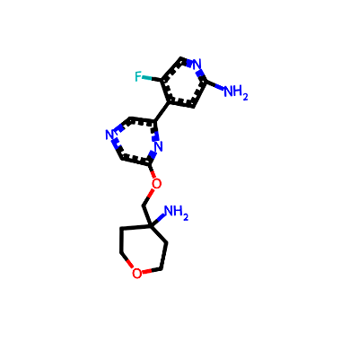 Nc1cc(-c2cncc(OCC3(N)CCOCC3)n2)c(F)cn1